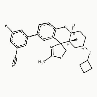 N#Cc1cc(F)cc(-c2ccc3c(c2)C2(COC(N)=N2)[C@H]2C[C@@H](OC4CCC4)CC[C@@H]2O3)c1